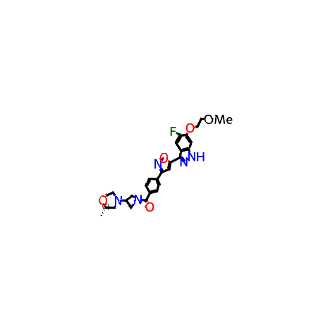 COCCOc1cc2[nH]nc(-c3cc(-c4ccc(C(=O)N5CC(N6CCO[C@@H](C)C6)C5)cc4)no3)c2cc1F